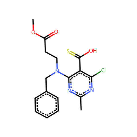 COC(=O)CCN(Cc1ccccc1)c1nc(C)nc(Cl)c1C(O)=S